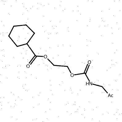 [CH2]C(=O)CNC(=O)OCCOC(=O)C1CCCCC1